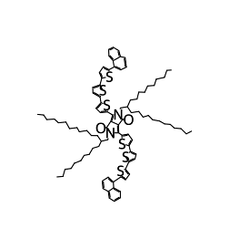 CCCCCCCCCCCCC(CCCCCCCCCC)CN1C(=O)C2=C(c3ccc(-c4ccc(-c5ccc(-c6cccc7ccccc67)s5)s4)s3)N(CC(CCCCCCCCCC)CCCCCCCCCCCC)C(=O)C2=C1c1ccc(-c2ccc(-c3ccc(-c4cccc5ccccc45)s3)s2)s1